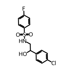 O=S(=O)(NCC(O)c1ccc(Cl)cc1)c1ccc(F)cc1